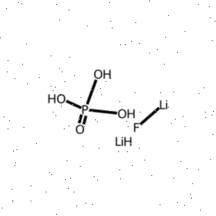 O=P(O)(O)O.[LiH].[Li][F]